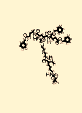 CC(CCC(=O)OCc1ccccc1)NC(=O)C(CCC(=O)NC(CCC(=O)OCc1ccccc1)C(=O)OCc1ccccc1)NC(=O)COCCOCCNC(=O)C(CCCCNC(=O)OC(C)(C)C)NF